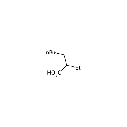 CCCCCC(CC)C(=O)O